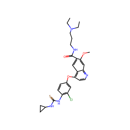 CCN(CC)CCCNC(=O)c1cc2c(Oc3ccc(NC(=S)NC4CC4)c(Cl)c3)ccnc2cc1OC